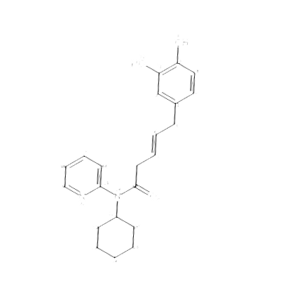 O=C(C/C=C/Cc1ccc(O)c(O)c1)N(c1ccccn1)C1CCCCC1